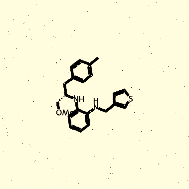 COC[C@H](Cc1ccc(C)cc1)Nc1ccccc1NCc1ccsc1